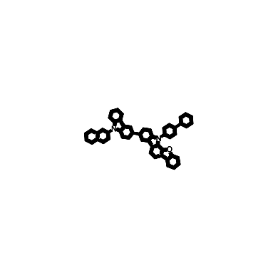 c1ccc(-c2ccc(-n3c4ccc(-c5ccc6c(c5)c5ccccc5n6-c5ccc6ccccc6c5)cc4c4ccc5c6ccccc6oc5c43)cc2)cc1